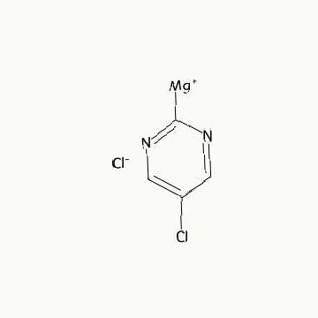 [Cl-].[Mg+][c]1ncc(Cl)cn1